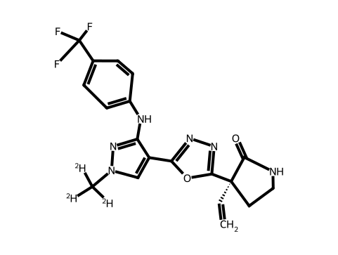 [2H]C([2H])([2H])n1cc(-c2nnc([C@]3(C=C)CCNC3=O)o2)c(Nc2ccc(C(F)(F)F)cc2)n1